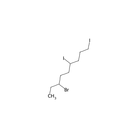 CCC(Br)CCC(I)CCCI